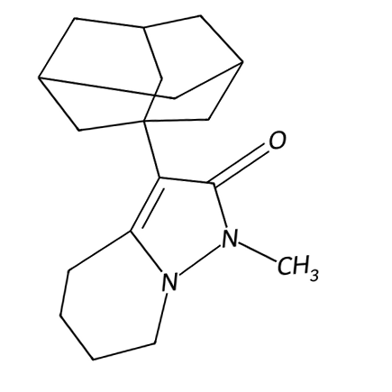 Cn1c(=O)c(C23CC4CC(CC(C4)C2)C3)c2n1CCCC2